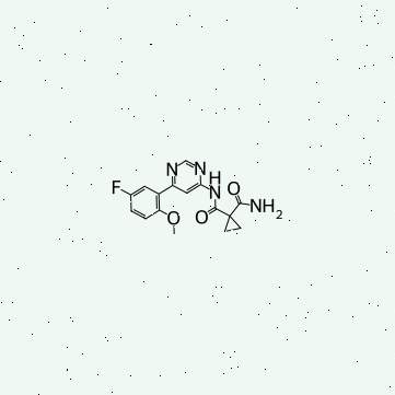 COc1ccc(F)cc1-c1cc(NC(=O)C2(C(N)=O)CC2)ncn1